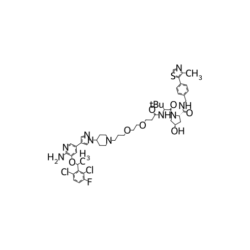 Cc1ncsc1-c1ccc(CNC(=O)[C@@H]2C[C@@H](O)CN2C(=O)C(NC(=O)CCOCCOCCCN2CCC(n3cc(-c4cnc(N)c(OC(C)c5c(Cl)ccc(F)c5Cl)c4)cn3)CC2)C(C)(C)C)cc1